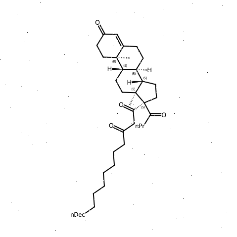 CCCCCCCCCCCCCCCCCC(=O)CC(=O)[C@@]1(C(=O)CCC)CC[C@H]2[C@@H]3CCC4=CC(=O)CC[C@]4(C)[C@H]3CC[C@@]21C